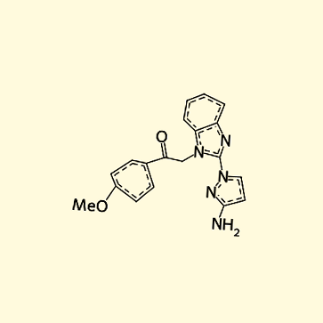 COc1ccc(C(=O)Cn2c(-n3ccc(N)n3)nc3ccccc32)cc1